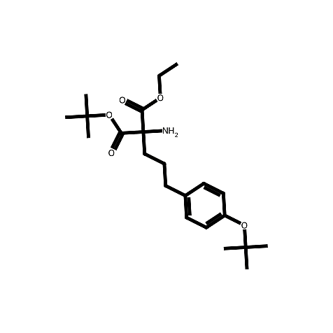 CCOC(=O)C(N)(CCCc1ccc(OC(C)(C)C)cc1)C(=O)OC(C)(C)C